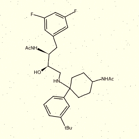 CC(=O)NC1CCC(NC[C@@H](O)[C@H](Cc2cc(F)cc(F)c2)NC(C)=O)(c2cccc(C(C)(C)C)c2)CC1